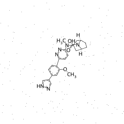 COc1cc(-c2cn[nH]c2)ccc1-c1ccc(N(C)C2C[C@H]3CC[C@@H](C2)N3C(=O)O)nn1